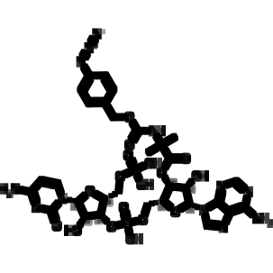 CC(C)(NC(=O)OCc1ccc(N=[N+]=[N-])cc1)C(=O)O[C@H]1[C@@H](O)[C@H](n2cnc3c(N)ncnc32)O[C@@H]1COP(=O)(O)O[C@H]1[C@@H](O)[C@H](n2ccc(N)nc2=O)O[C@@H]1COP(=O)(O)O